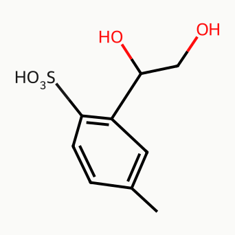 Cc1ccc(S(=O)(=O)O)c(C(O)CO)c1